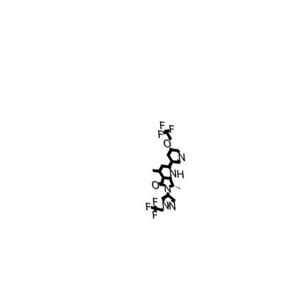 CC1CC(C2C=NCC(OCC(F)(F)F)C2)NC2C1C(=O)N(C1C=NN(CC(F)(F)F)C1)[C@H]2C